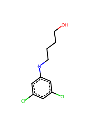 OCCCC[N]c1cc(Cl)cc(Cl)c1